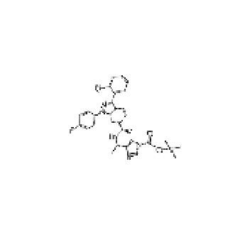 CC(NC(=O)c1ccc2c(-c3ccccc3Cl)nn(-c3ccc(F)cc3)c2c1)c1cn(C(=O)OC(C)(C)C)cn1